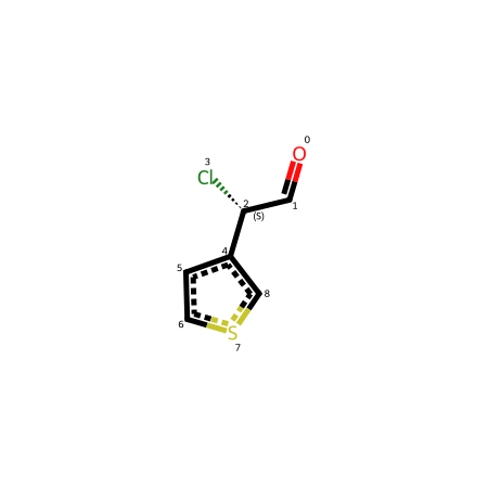 O=C[C@@H](Cl)c1ccsc1